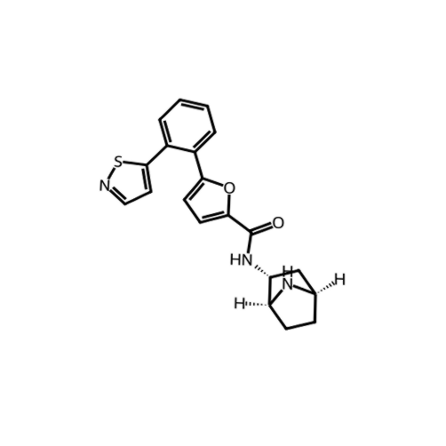 O=C(N[C@@H]1C[C@H]2CC[C@@H]1N2)c1ccc(-c2ccccc2-c2ccns2)o1